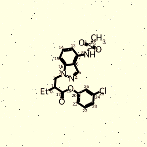 CCC(Cn1ncc2c(NS(C)(=O)=O)cccc21)C(=O)Oc1cccc(Cl)c1